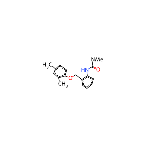 CNC(=O)Nc1ccccc1COc1ccc(C)cc1C